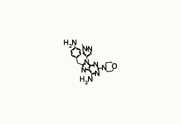 Cn1cc(-n2c(Cc3ccc(N)cc3)nc3c(N)nc(N4CCOCC4)nc32)cn1